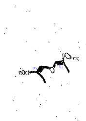 CCCCCCCC/C(C)=C/O/C=C(\C)CCCCCCCC